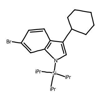 CC(C)[Si](C(C)C)(C(C)C)n1cc(C2CCCCC2)c2ccc(Br)cc21